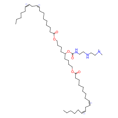 CCCCC/C=C\C/C=C\CCCCCCCC(=O)OCCCCC(CCCCOC(=O)CCCCCCC/C=C\C/C=C\CCCCC)OC(=O)NCCNCCN(C)C